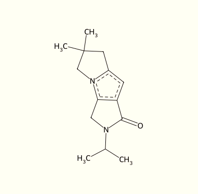 CC(C)N1Cc2c(cc3n2CC(C)(C)C3)C1=O